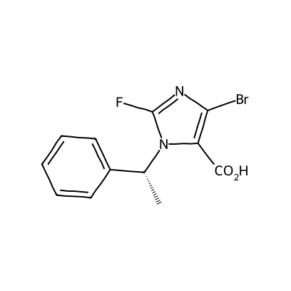 C[C@H](c1ccccc1)n1c(F)nc(Br)c1C(=O)O